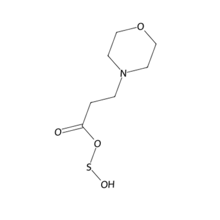 O=C(CCN1CCOCC1)OSO